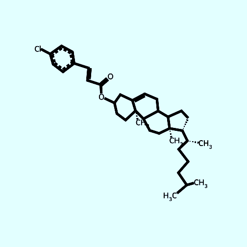 CC(C)CCC[C@@H](C)[C@H]1CCC2C3CC=C4CC(OC(=O)C=Cc5ccc(Cl)cc5)CC[C@]4(C)C3CC[C@@]21C